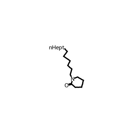 CCCCCCCCCCCCCN1CCCCC1=O